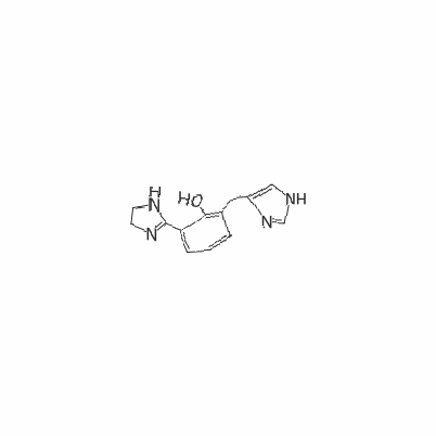 Oc1c(Cc2c[nH]cn2)cccc1C1=NCCN1